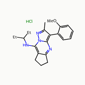 CCC(CC)Nc1c2c(nc3c(-c4ccccc4OC)c(C)nn13)CCC2.Cl